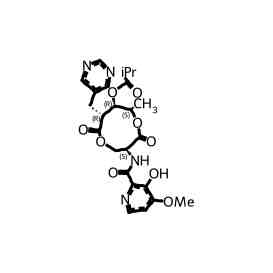 COc1ccnc(C(=O)N[C@H]2COC(=O)[C@H](Cc3cncnc3)[C@@H](OC(=O)C(C)C)[C@H](C)OC2=O)c1O